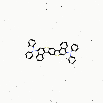 Cc1ccccc1N(c1ccccc1)c1cc2sc3cc4c(cc3c2c2ccccc12)sc1cc(N(c2ccccc2)c2ccccc2C)c2ccccc2c14